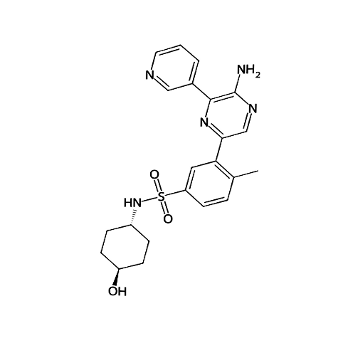 Cc1ccc(S(=O)(=O)N[C@H]2CC[C@H](O)CC2)cc1-c1cnc(N)c(-c2cccnc2)n1